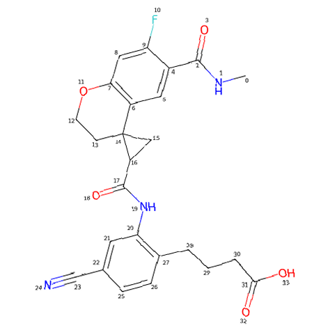 CNC(=O)c1cc2c(cc1F)OCCC21CC1C(=O)Nc1cc(C#N)ccc1CCCC(=O)O